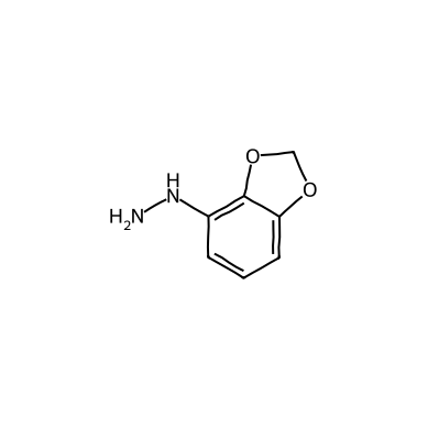 NNc1cccc2c1OCO2